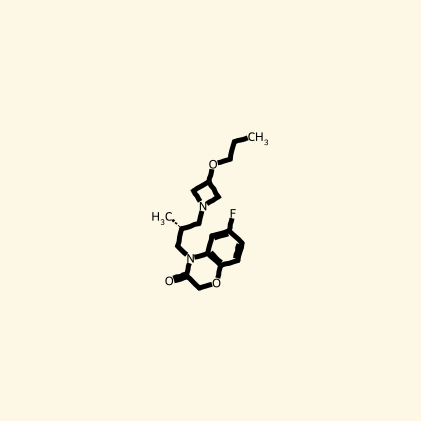 CCCOC1CN(C[C@@H](C)CN2C(=O)COc3ccc(F)cc32)C1